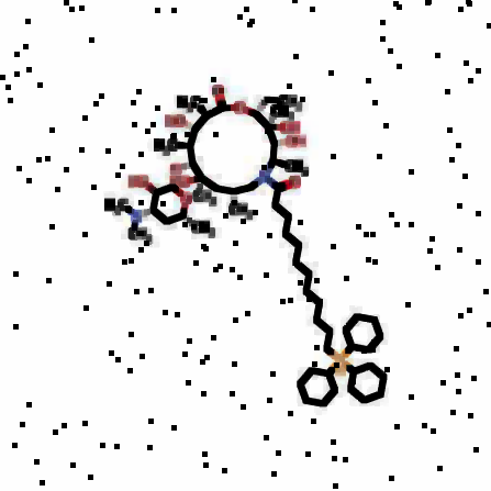 CC[C@H]1OC(=O)[C@H](C)[C@@H](O)[C@H](C)[C@@H](O[C@@H]2O[C@H](C)C[C@H](N(C)C)[C@H]2O)[C@](C)(O)C[C@@H](C)CN(C(=O)CCCCCCCCCCC[PH](C2CCCCC2)(C2CCCCC2)C2CCCCC2)[C@H](C)[C@@H](O)[C@]1(C)O